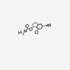 COc1cc(C#N)cc2c1C(OC(N)=O)CC2